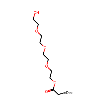 CCCCCCCCCCCC(=O)OCCOCCOCCOCCO